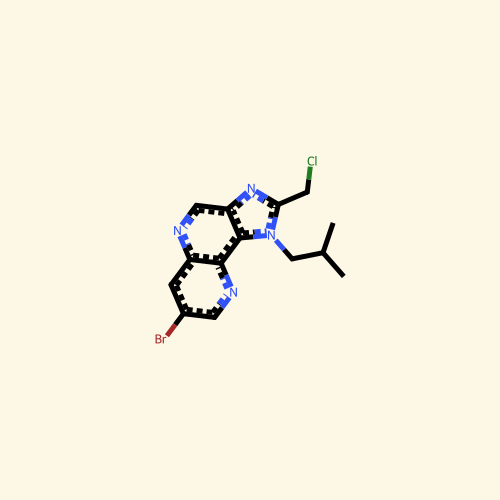 CC(C)Cn1c(CCl)nc2cnc3cc(Br)cnc3c21